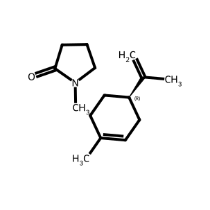 C=C(C)[C@H]1CC=C(C)CC1.CN1CCCC1=O